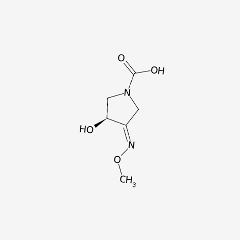 CON=C1CN(C(=O)O)C[C@@H]1O